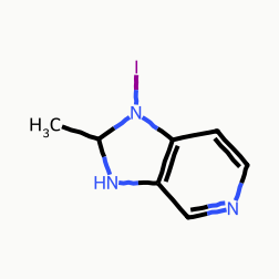 CC1Nc2cnccc2N1I